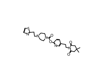 CC1(C)CC(=O)N(CCc2ccc(OC(=O)N3CCN(CCc4nccs4)CC3)nc2)C(=O)C1